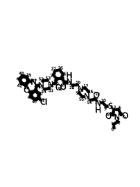 CCCN1C(=O)CC(SCCNC(=O)CN2CCN(CCNC(=O)C3CCCCC3C(=O)N3CCN(C4=Nc5ccccc5Oc5ccc(Cl)cc54)CC3)CC2)C1=O